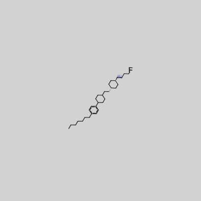 CCCCCCCc1ccc(C2CCC(CC[C@H]3CC[C@H](/C=C/CCF)CC3)CC2)cc1